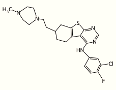 CN1CCN(CCC2CCc3c(sc4ncnc(Nc5ccc(F)c(Cl)c5)c34)C2)CC1